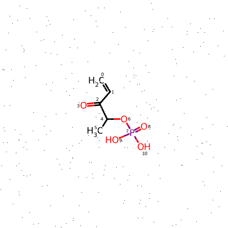 C=CC(=O)C(C)OP(=O)(O)O